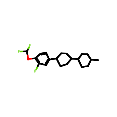 CC1CCC(C2CCC(c3ccc(OC(F)F)c(F)c3)CC2)CC1